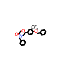 O=C1COC(c2ccc(OCc3ccccc3)c(C(F)(F)F)c2)CN1Cc1ccccc1